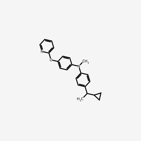 CC(c1ccc(N(C)c2ccc(Oc3ccccn3)cc2)cc1)C1CC1